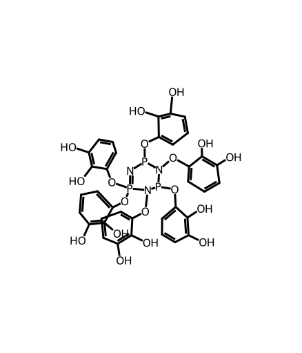 Oc1cccc(ON2P(Oc3cccc(O)c3O)N=P(Oc3cccc(O)c3O)(Oc3cccc(O)c3O)N(Oc3cccc(O)c3O)P2Oc2cccc(O)c2O)c1O